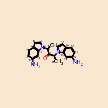 CC(C(=O)C(C)n1ccc2ccc(N)cc21)n1ccc2ccc(N)cc21